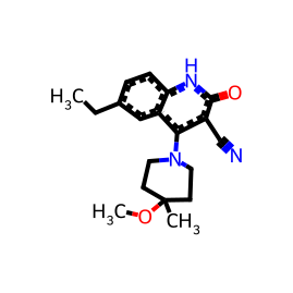 CCc1ccc2[nH]c(=O)c(C#N)c(N3CCC(C)(OC)CC3)c2c1